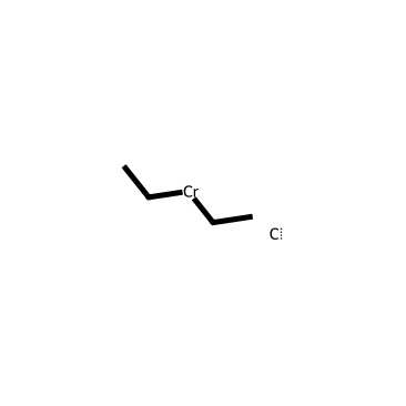 C[CH2][Cr][CH2]C.[C]